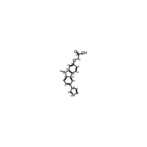 Cn1c2ccc(-n3ccnc3)cc2c2ccc(OCC(=O)O)cc21